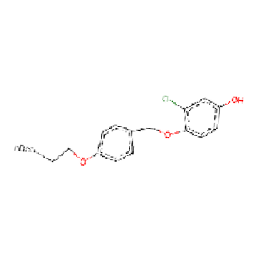 CCCCCCCCCCCCOc1ccc(COc2ccc(O)cc2Cl)cc1